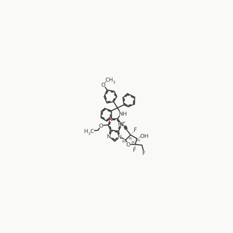 C#C[C@]1(F)[C@H](n2cnc3c(OCC)nc(NC(c4ccccc4)(c4ccccc4)c4ccc(OC)cc4)nc32)O[C@](F)(CF)[C@H]1O